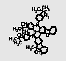 CC(C)(C)c1ccc(N2B3c4cc(C(C)(C)C)ccc4N(c4ccc(C(C)(C)C)cc4)c4cc5c(oc6ccccc65)c(c43)-c3cc4c(cc32)C(C)(C)c2ccccc2-4)cc1